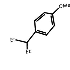 CCC(CC)c1ccc(OC)cc1